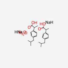 CC(C)Cc1ccc(C(C)C(=O)O)cc1.CC(C)Cc1ccc(C(C)C(=O)O)cc1.O.O.[NaH].[NaH]